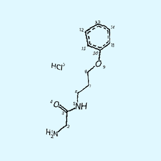 Cl.NCC(=O)NCCCOc1ccccc1